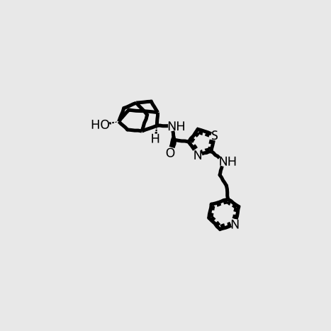 O=C(N[C@H]1C2CC3CC1C[C@](O)(C3)C2)c1csc(NCCc2cccnc2)n1